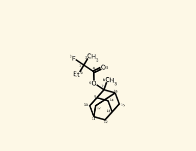 CCC(C)(F)C(=O)OC1(C)C2CC3CC(C2)CC1C3